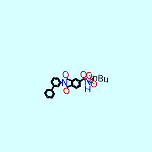 CCCCS(=O)(=O)NC(=O)c1ccc2c(c1)C(=O)N(c1cccc(-c3ccccc3)c1)C2=O